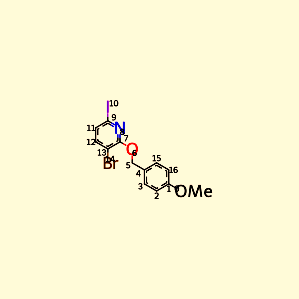 COc1ccc(COc2nc(I)ccc2Br)cc1